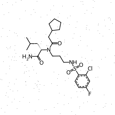 CC(C)C[C@@H](C(N)=O)N(CCCNS(=O)(=O)c1ccc(F)cc1Cl)C(=O)CC1CCCC1